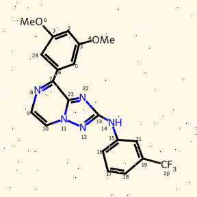 COc1cc(OC)cc(-c2nccn3nc(Nc4cccc(C(F)(F)F)c4)nc23)c1